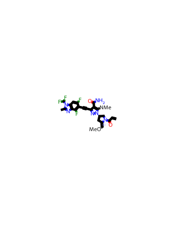 C=CC(=O)N1C[C@@H](n2nc(C#Cc3c(F)cc4c(nc(C)n4C(F)F)c3F)c(C(N)=O)c2NC)C/C1=C\OC